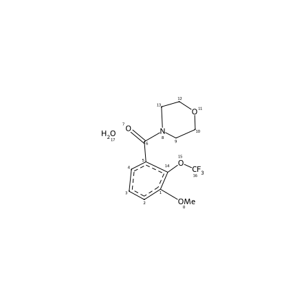 COc1cccc(C(=O)N2CCOCC2)c1OC(F)(F)F.O